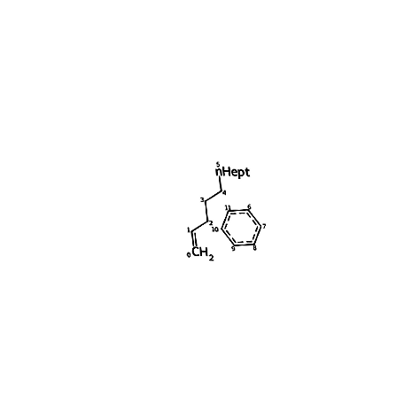 C=CCCCCCCCCCC.c1ccccc1